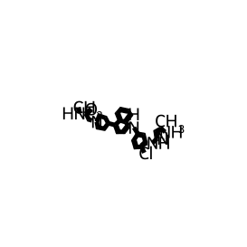 CNC(=O)CN1CCC(c2ccc(Nc3ccc(Cl)c(Nc4cc(C)[nH]n4)c3)c3ccccc23)CC1